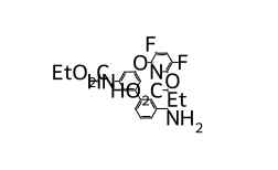 CCOC(=O)Nc1cc(Oc2nc(OC(CC)C(=O)O)c(F)cc2F)cc(-c2cccc(CN)c2)c1